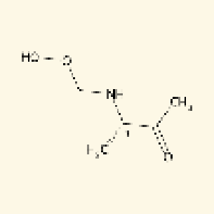 CC(=O)[C@H](C)NCOO